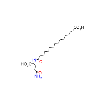 NC(=O)CCC(NC(=O)CCCCCCCCCCCCCCC(=O)O)C(=O)O